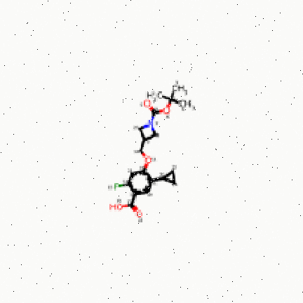 CC(C)(C)OC(=O)N1CC(COc2cc(F)c(C(=O)O)cc2C2CC2)C1